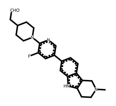 CN1CCc2[nH]c3cc(-c4cnc(N5CCC(CC=O)CC5)c(F)c4)ccc3c2C1